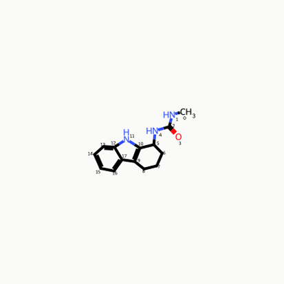 CNC(=O)NC1CCCc2c1[nH]c1ccccc21